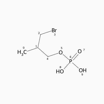 CC(CBr)COP(=O)(O)O